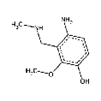 CNCc1c(N)ccc(O)c1OC